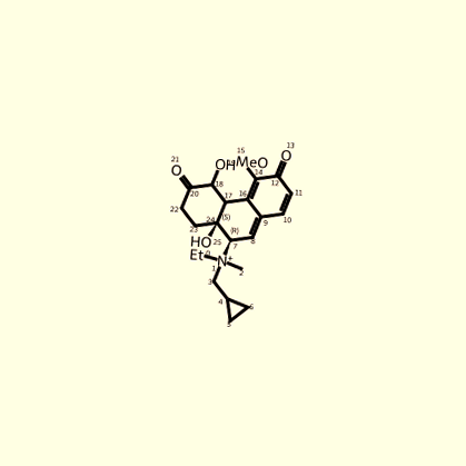 CC[N+](C)(CC1CC1)[C@@H]1C=C2C=CC(=O)C(OC)=C2C2C(O)C(=O)CC[C@]21O